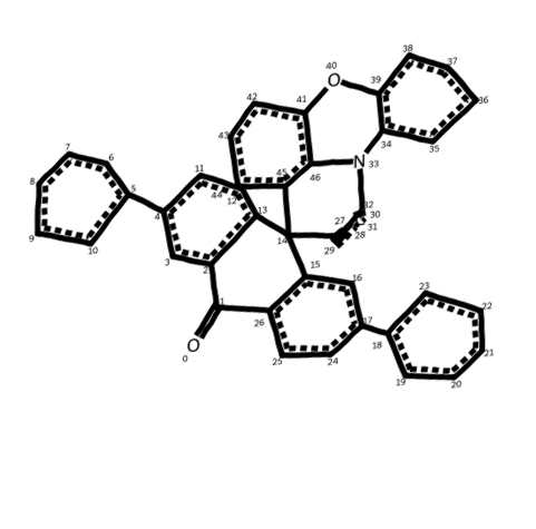 O=C1c2cc(-c3ccccc3)ccc2C2(c3cc(-c4ccccc4)ccc31)c1ccccc1N1c3ccccc3Oc3cccc2c31